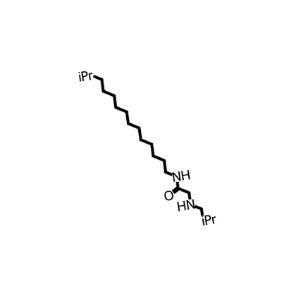 CC(C)CCCCCCCCCCCCNC(=O)CNCC(C)C